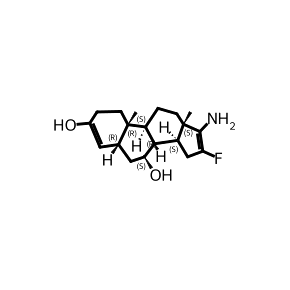 C[C@]12CCC(O)=C[C@H]1C[C@H](O)[C@@H]1[C@@H]2CC[C@]2(C)C(N)=C(F)C[C@@H]12